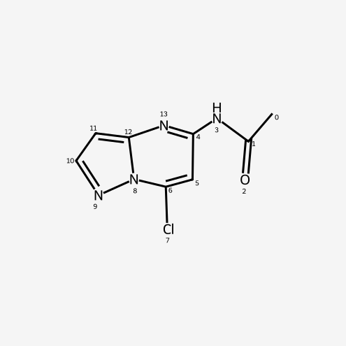 CC(=O)Nc1cc(Cl)n2nccc2n1